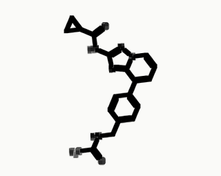 O=C(Nc1nc2c(-c3ccc(CNC(=O)C(F)(F)F)cc3)cccn2n1)C1CC1